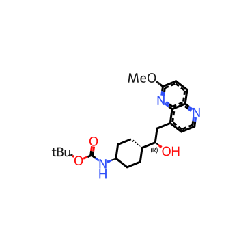 COc1ccc2nccc(C[C@@H](O)[C@H]3CC[C@H](NC(=O)OC(C)(C)C)CC3)c2n1